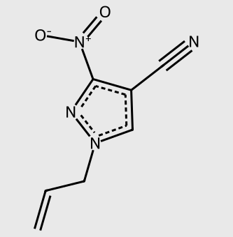 C=CCn1cc(C#N)c([N+](=O)[O-])n1